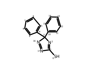 SC1=NC(c2ccccc2)(c2ccccc2)N=N1